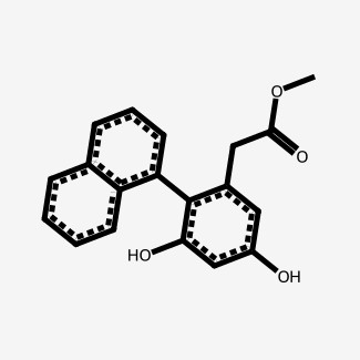 COC(=O)Cc1cc(O)cc(O)c1-c1cccc2ccccc12